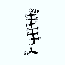 C=C(CC)OCC(F)(F)C(F)(F)C(F)(F)C(F)(F)C(F)(F)C(F)(F)OC